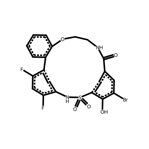 O=C1NCCOc2ccccc2-c2cc(c(F)cc2F)NS(=O)(=O)c2cc1cc(Br)c2O